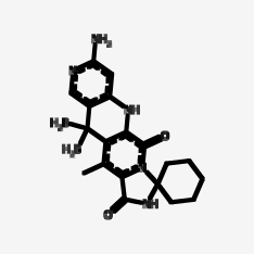 BC1(B)c2cnc(N)cc2Nc2c1c(C)c1n(c2=O)C2(CCCCC2)NC1=O